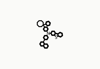 c1ccc(C2(c3ccc(N(c4ccc(-c5cccc6ccccc56)cc4)c4ccc5c(c4)sc4ccccc45)cc3)CCCCCCC2)cc1